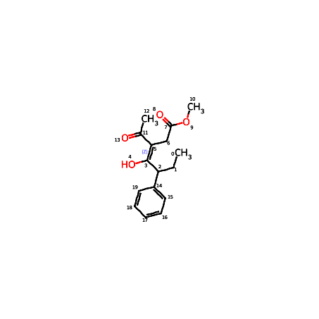 CCC(/C(O)=C(\CC(=O)OC)C(C)=O)c1ccccc1